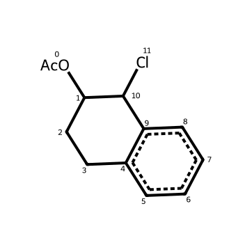 CC(=O)OC1CCc2ccccc2C1Cl